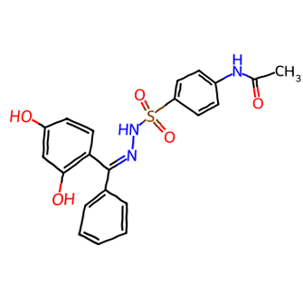 CC(=O)Nc1ccc(S(=O)(=O)N/N=C(/c2ccccc2)c2ccc(O)cc2O)cc1